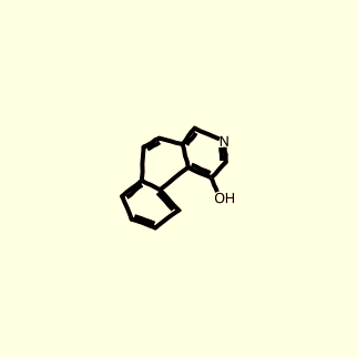 Oc1cncc2ccc3ccccc3c12